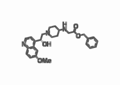 COc1ccc2nccc([C@@H](O)CN3CCC(NCC(=O)OCc4ccccc4)CC3)c2c1